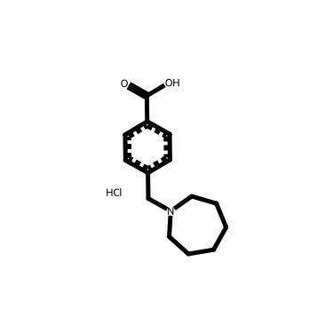 Cl.O=C(O)c1ccc(CN2CCCCCC2)cc1